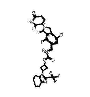 O=C1CC[C@@H](N2Cc3c(Cl)cc(CNC(=O)OC4CC(n5c(C(F)(F)F)nc6c5CCCC6)C4)c(F)c3C2=O)C(=O)N1